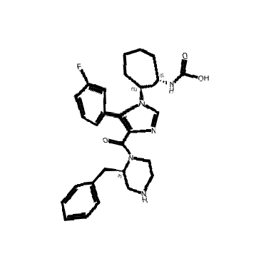 O=C(O)N[C@H]1CCCC[C@@H]1n1cnc(C(=O)N2CCNC[C@H]2Cc2ccccc2)c1-c1cccc(F)c1